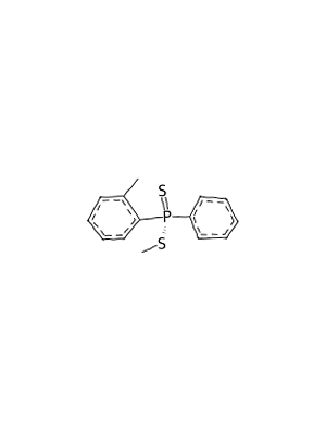 CS[P@](=S)(c1ccccc1)c1ccccc1C